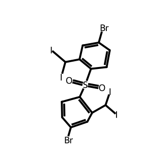 O=S(=O)(c1ccc(Br)cc1C(I)I)c1ccc(Br)cc1C(I)I